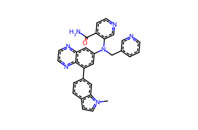 Cn1ccc2ccc(-c3cc(N(Cc4cccnc4)c4cnccc4C(N)=O)cc4nccnc34)cc21